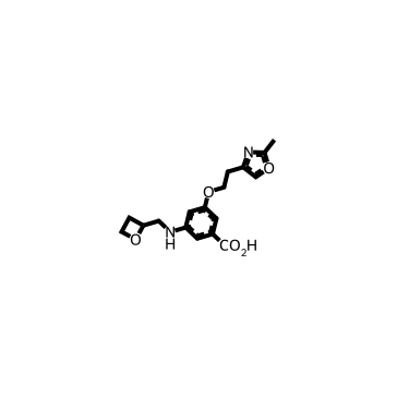 Cc1nc(CCOc2cc(NCC3CCO3)cc(C(=O)O)c2)co1